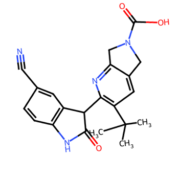 CC(C)(C)c1cc2c(nc1C1C(=O)Nc3ccc(C#N)cc31)CN(C(=O)O)C2